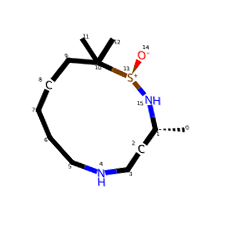 C[C@@H]1CCNCCCCCC(C)(C)[S@@+]([O-])N1